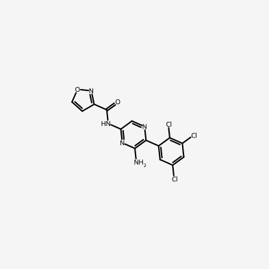 Nc1nc(NC(=O)c2ccon2)cnc1-c1cc(Cl)cc(Cl)c1Cl